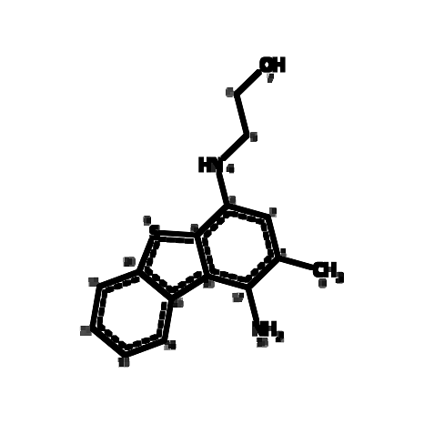 Cc1cc(NCCO)c2sc3ccccc3c2c1N